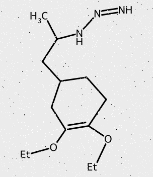 CCOC1=C(OCC)CC(CC(C)NN=N)CC1